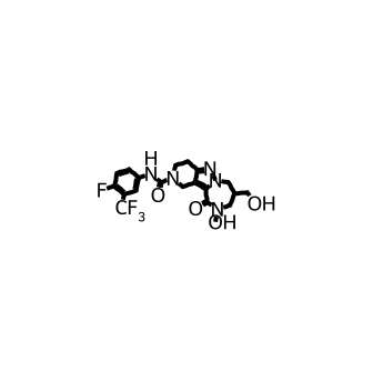 O=C1c2c3c(nn2CC(CO)CN1O)CCN(C(=O)Nc1ccc(F)c(C(F)(F)F)c1)C3